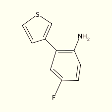 Nc1ccc(F)cc1-c1ccsc1